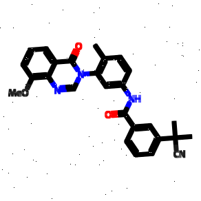 COc1cccc2c(=O)n(-c3cc(NC(=O)c4cccc(C(C)(C)C#N)c4)ccc3C)cnc12